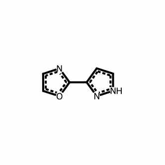 c1coc(-c2cc[nH]n2)n1